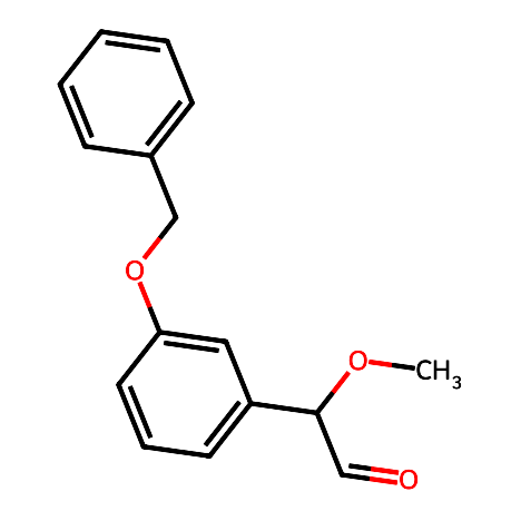 COC(C=O)c1cccc(OCc2ccccc2)c1